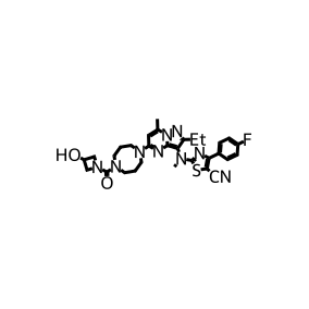 CCc1nn2c(C)cc(N3CCCN(C(=O)N4CC(O)C4)CCC3)nc2c1N(C)c1nc(-c2ccc(F)cc2)c(C#N)s1